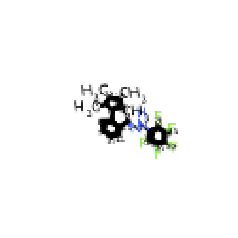 CC1=C(C)C(C)C(c2ccccc2C=NNc2c(F)c(F)c(F)c(F)c2F)=C1C